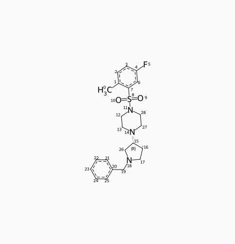 Cc1ccc(F)cc1S(=O)(=O)N1CCN([C@@H]2[CH]CN(Cc3ccccc3)C2)CC1